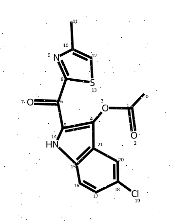 CC(=O)Oc1c(C(=O)c2nc(C)cs2)[nH]c2ccc(Cl)cc12